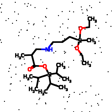 CCO[Si](C)(CCCNCC(C)C(=O)O[Si](C(C)C)(C(C)C)C(C)C)OCC